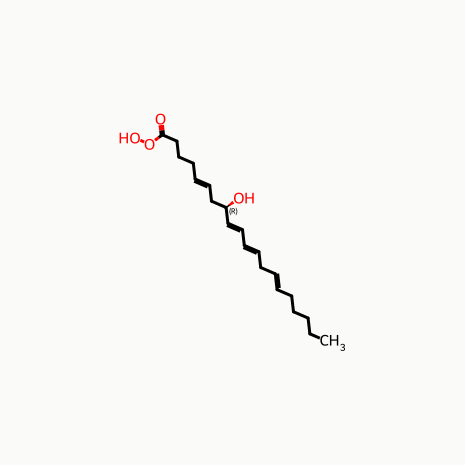 CCCCCC=CCC=CC=C[C@H](O)CC=CCCCC(=O)OO